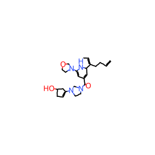 C=CCC/C(=C/C)C1C=C(C(=O)N2CCN(C3=CCC(O)C3)C2)C=C(N2CCOC2)N1